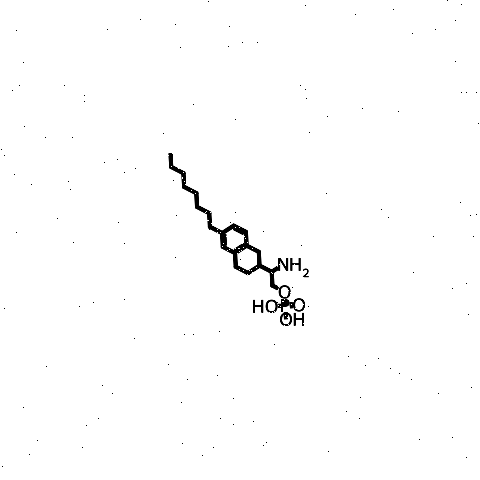 CCCCCCCCc1ccc2c(c1)CCC(C(N)COP(=O)(O)O)C2